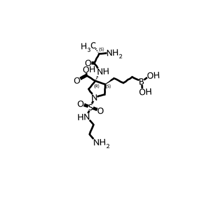 C[C@H](N)C(=O)N[C@@]1(C(=O)O)CN(S(=O)(=O)NCCN)C[C@@H]1CCCB(O)O